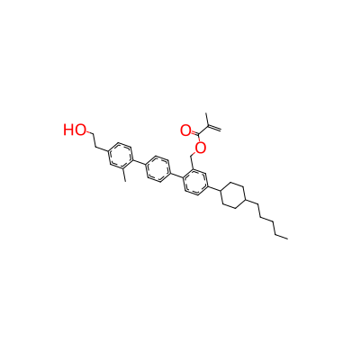 C=C(C)C(=O)OCc1cc(C2CCC(CCCCC)CC2)ccc1-c1ccc(-c2ccc(CCO)cc2C)cc1